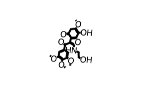 COC1=C(O)c2oc(NCCO)c(C(=O)c3cc(OC)c(OC)c(OC)c3)c2C(=O)C1